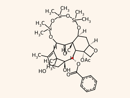 CC(=O)O[C@@]12CO[C@@H]1C[C@@H]1O[Si](C)(C)O[Si](C)(C)O[Si](C)(C)O[C@H]3C(=O)[C@@]1(C)[C@@H]2[C@H](OC(=O)c1ccccc1)[C@]1(O)C[C@H](O)C(C)=C3C1(C)C